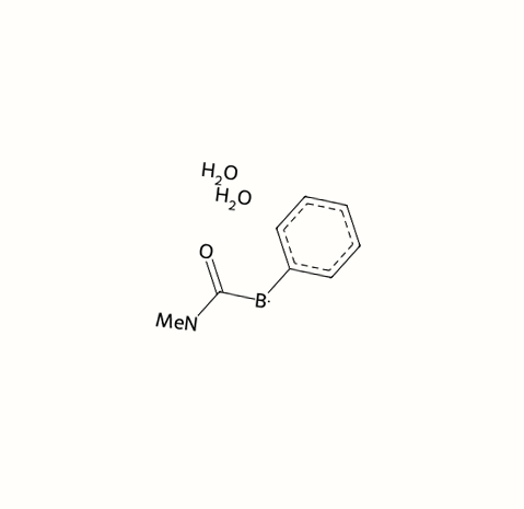 CNC(=O)[B]c1ccccc1.O.O